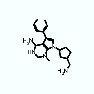 C/C=C\C(=C/C)c1cn(C2CCC(CN)C2)c2c1C(N)NCN2C